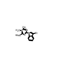 CCc1cn(-c2nc(C)[n+](C)c(NC)n2)c2ccccc12